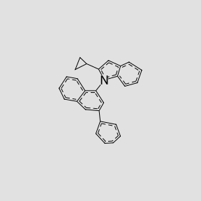 c1ccc(-c2cc(-n3c(C4CC4)cc4ccccc43)c3ccccc3c2)cc1